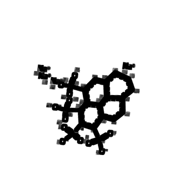 O=S(=O)([O-])c1c(S(=O)(=O)[O-])c2ccc3cccc4cc(S(=O)(=O)[O-])c(c1S(=O)(=O)[O-])c2c34.[Na+].[Na+].[Na+].[Na+]